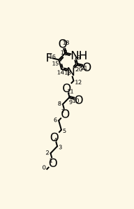 COCCOCCOCC(=O)OCn1cc(F)c(=O)[nH]c1=O